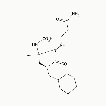 CC(C)(C[C@H](CC1CCCCC1)C(=O)NNCCC(N)=O)NC(=O)O